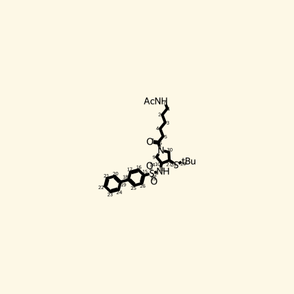 CC(=O)NCCCCCC(=O)N1CC(NS(=O)(=O)c2ccc(-c3ccccc3)cc2)C(SC(C)(C)C)C1